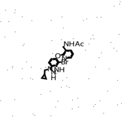 CC(=O)NCc1cccnc1Oc1ccc2c(c1Br)NNN2CC1CC1